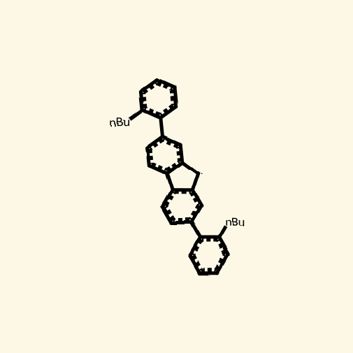 CCCCc1ccccc1-c1ccc2c(c1)[CH]c1cc(-c3ccccc3CCCC)ccc1-2